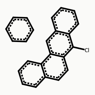 Clc1c2ccccc2cc2c1ccc1ccccc12.c1ccccc1